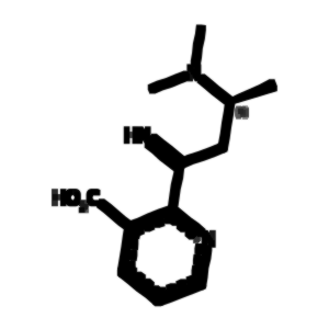 C[C@@H](CC(=N)c1ncccc1C(=O)O)N(C)C